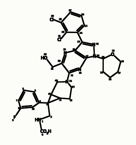 O=C(O)NCC1(c2cccc(F)c2)C2CCN(c3nc4c(nc3CO)c(-c3cccc(Cl)c3Cl)nn4C3CCCCO3)CC21